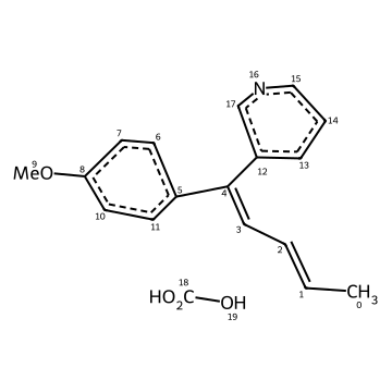 C/C=C/C=C(/c1ccc(OC)cc1)c1cccnc1.O=C(O)O